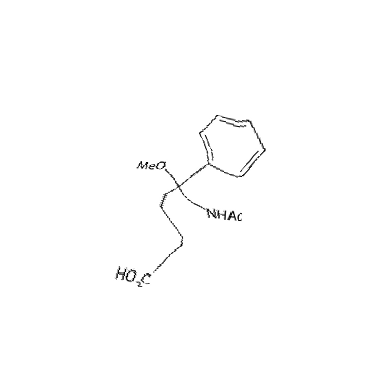 COC(CCC(=O)O)(NC(C)=O)c1ccccc1